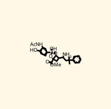 COC(=O)C1(O[As](=O)(O)c2ccc(O)c(NC(C)=O)c2)CC(C(N)CC(C)(C)c2ccccc2)C1